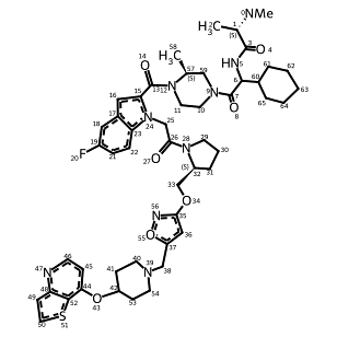 CN[C@@H](C)C(=O)NC(C(=O)N1CCN(C(=O)c2cc3cc(F)ccc3n2CC(=O)N2CCC[C@H]2COc2cc(CN3CCC(Oc4ccnc5ccsc45)CC3)on2)[C@@H](C)C1)C1CCCCC1